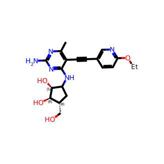 CCOc1ccc(C#Cc2c(C)nc(N)nc2NC2C[C@H](CO)[C@@H](O)[C@H]2O)cn1